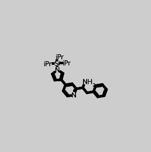 CC(C)[Si](C(C)C)(C(C)C)n1ccc(-c2ccnc(C(N)Cc3ccccc3)c2)c1